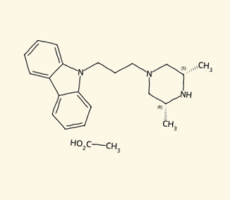 CC(=O)O.C[C@@H]1CN(CCCn2c3ccccc3c3ccccc32)C[C@H](C)N1